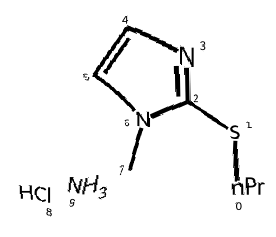 CCCSc1nccn1C.Cl.N